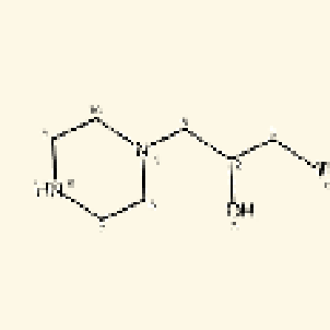 CC(C)CC(O)CN1CCNCC1